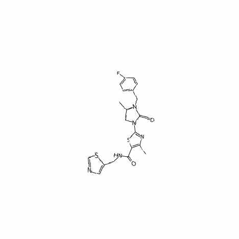 Cc1nc(N2CC(C)N(Cc3ccc(F)cc3)C2=O)sc1C(=O)NCc1cncs1